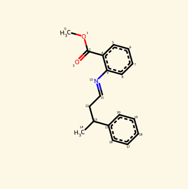 COC(=O)c1ccccc1/N=C/CC(C)c1ccccc1